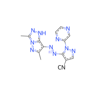 [C-]#[N+]c1cnn(-c2cnccn2)c1/N=N/c1c(C)nn2c(C)n[nH]c12